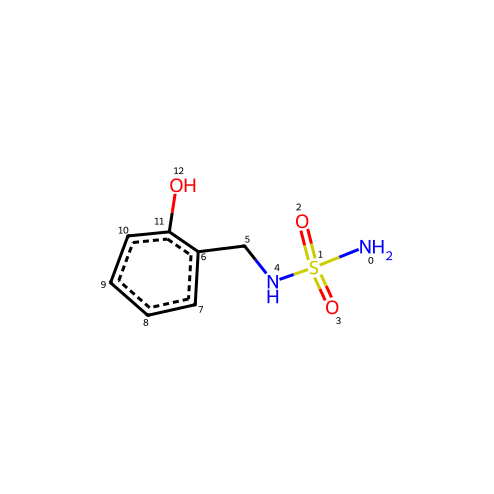 NS(=O)(=O)NCc1ccccc1O